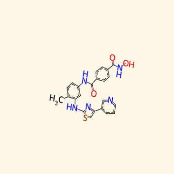 Cc1ccc(NC(=O)c2ccc(C(=O)NO)cc2)cc1Nc1nc(-c2cccnc2)cs1